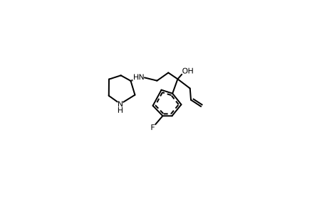 C=CCC(O)(CCN[C@H]1CCCNC1)c1ccc(F)cc1